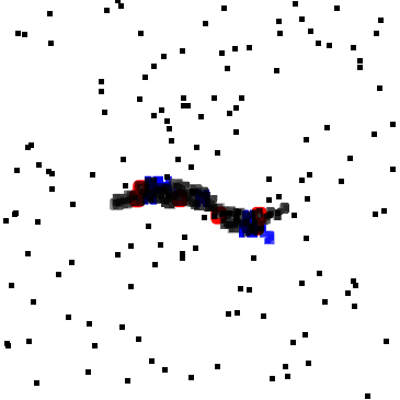 CCCCOC(=O)N=C(N)c1ccc(OCCCN2CCC(C(CC)Oc3ccc(C(N)=NC(=O)OCCCC)cc3)CC2)cc1